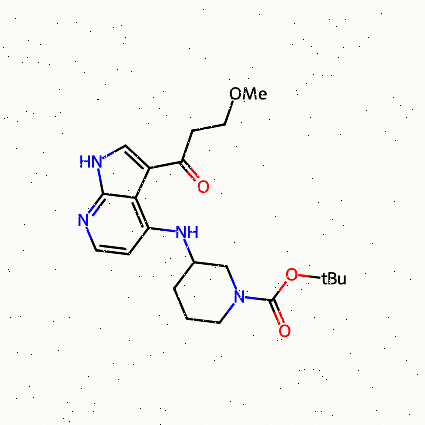 COCCC(=O)c1c[nH]c2nccc(NC3CCCN(C(=O)OC(C)(C)C)C3)c12